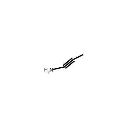 CC#CN